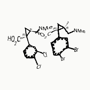 CNC[C@@H]1C[C@]1(C(=O)O)c1ccc(Cl)c(Cl)c1.CNC[C@]1(C)C[C@@]1(C(=O)O)c1ccc(Br)c(Br)c1